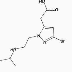 CC(C)NCCn1nc(Br)cc1CC(=O)O